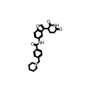 O=C1CCC(c2coc3ccc(NC(=O)c4ccc(CN5CCCCC5)cc4)cc23)C(=O)N1